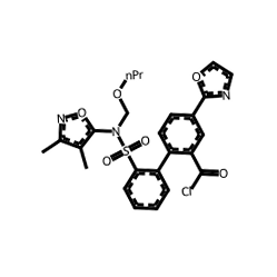 CCCOCN(c1onc(C)c1C)S(=O)(=O)c1ccccc1-c1ccc(-c2ncco2)cc1C(=O)Cl